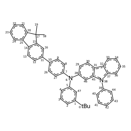 CC(C)(C)c1cccc(N(c2ccc(-c3ccc4c(c3)C(C)(C)c3ccccc3-4)cc2)c2ccc3c4ccccc4n(-c4ccccc4)c3c2)c1